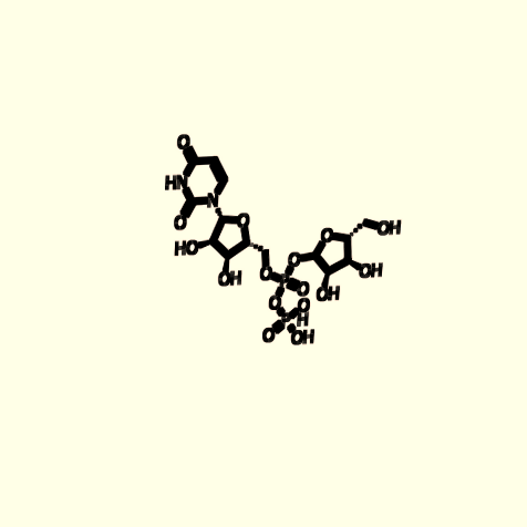 O=c1ccn([C@@H]2O[C@H](COP(=O)(OC3O[C@H](CO)[C@@H](O)[C@H]3O)OP(=O)(O)O)[C@@H](O)[C@H]2O)c(=O)[nH]1